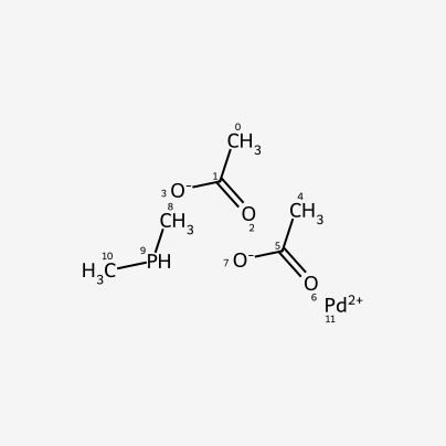 CC(=O)[O-].CC(=O)[O-].CPC.[Pd+2]